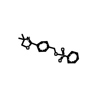 CC1(C)COC(c2ccc(COS(=O)(=O)c3ccccc3)cc2)=N1